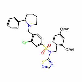 COc1ccc(CN(c2ncns2)S(=O)(=O)c2ccc(CN3CCCCC3c3ccccc3)c(Cl)c2)c(OC)c1